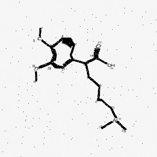 COc1ccc(C(CCCCN(C)C)C(=O)O)cc1OC